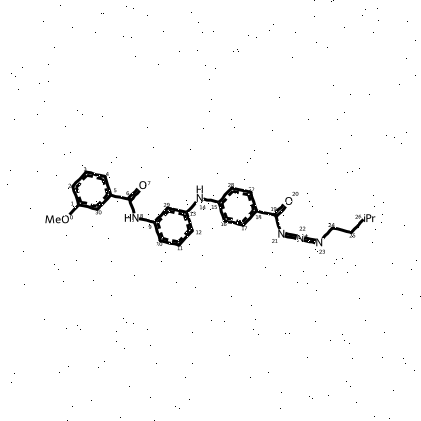 COc1cccc(C(=O)Nc2cccc(Nc3ccc(C(=O)N=[N+]=NCCC(C)C)cc3)c2)c1